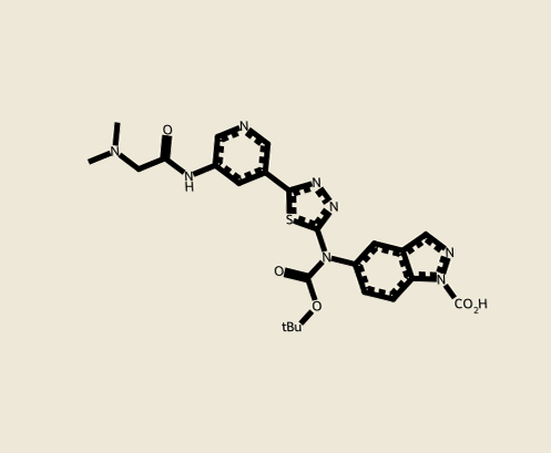 CN(C)CC(=O)Nc1cncc(-c2nnc(N(C(=O)OC(C)(C)C)c3ccc4c(cnn4C(=O)O)c3)s2)c1